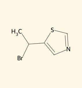 CC(Br)c1cncs1